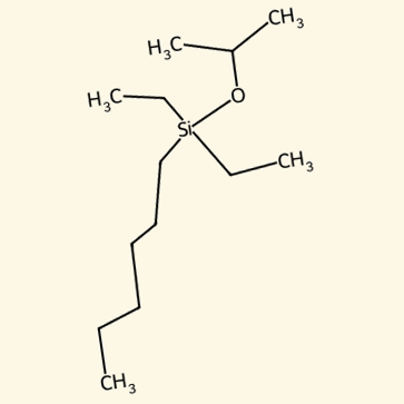 CCCCCC[Si](CC)(CC)OC(C)C